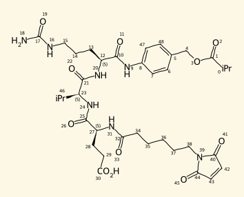 CC(C)C(=O)OCc1ccc(NC(=O)[C@H](CCCNC(N)=O)NC(=O)[C@@H](NC(=O)[C@H](CCC(=O)O)NC(=O)CCCCCN2C(=O)C=CC2=O)C(C)C)cc1